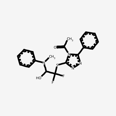 CC(=O)n1c(SC(F)(F)C(O)N(C)c2ccccc2)nnc1-c1ccccc1